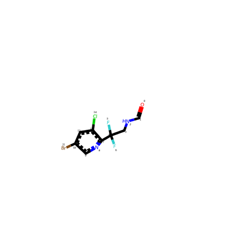 O=CNCC(F)(F)c1ncc(Br)cc1Cl